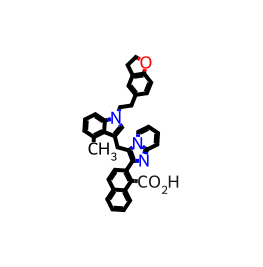 Cc1cccc2c1c(Cc1c(-c3ccc4ccccc4c3C(=O)O)nc3ccccn13)cn2CCc1ccc2c(c1)CCO2